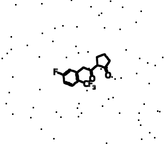 O=C1CCCC1C(=O)Cc1cc(F)ccc1C(F)(F)F